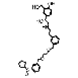 [O-][S+](c1cccc(COCCOCc2cccc(CCNC[C@H](O)c3ccc(O)c(CO)c3)c2)c1)C1CCCC1